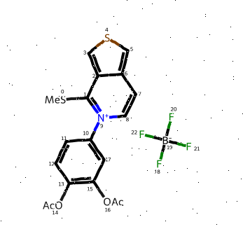 CSc1c2cscc2cc[n+]1-c1ccc(OC(C)=O)c(OC(C)=O)c1.F[B-](F)(F)F